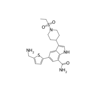 CCS(=O)(=O)N1CCC(c2c[nH]c3c(C(N)=O)cc(-c4ccc(CN)s4)cc23)CC1